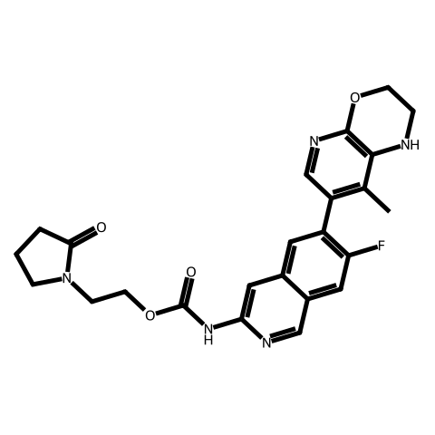 Cc1c(-c2cc3cc(NC(=O)OCCN4CCCC4=O)ncc3cc2F)cnc2c1NCCO2